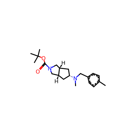 Cc1ccc(CN(C)[C@@H]2C[C@@H]3CN(C(=O)OC(C)(C)C)C[C@@H]3C2)cc1